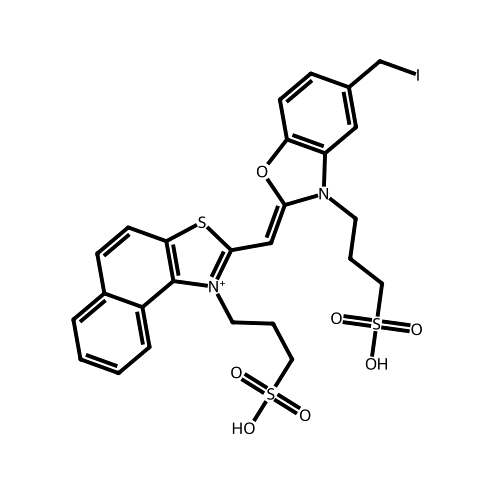 O=S(=O)(O)CCCN1/C(=C/c2sc3ccc4ccccc4c3[n+]2CCCS(=O)(=O)O)Oc2ccc(CI)cc21